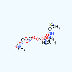 Cc1ncsc1-c1ccc(CNC(=O)[C@@H]2CCCN2C(=O)C(NC(=O)COCCOCCOc2ccc(C(=O)Oc3ccc4oc(-c5ccc(=O)n(C)n5)nc4c3)nc2)C(C)(C)C)cc1